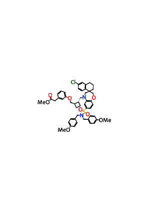 COC(=O)Cc1cccc(OC[C@@H]2CC[C@H]2CN2C[C@@]3(CCCc4cc(Cl)ccc43)COc3ccc(S(=O)(=O)N(Cc4ccc(OC)cc4)Cc4ccc(OC)cc4)cc32)c1